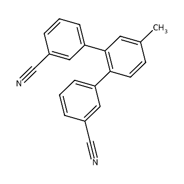 Cc1ccc(-c2cccc(C#N)c2)c(-c2cccc(C#N)c2)c1